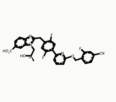 C[C@@H](O)Cn1c(Cc2cc(F)c(-c3cccc(OCc4ccc(C#N)cc4F)n3)cc2F)nc2ccc(C(=O)O)cc21